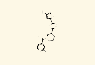 O=C(c1ccnc(F)c1)N1CCCC(c2nc(-c3cc(F)c[nH]3)no2)C1